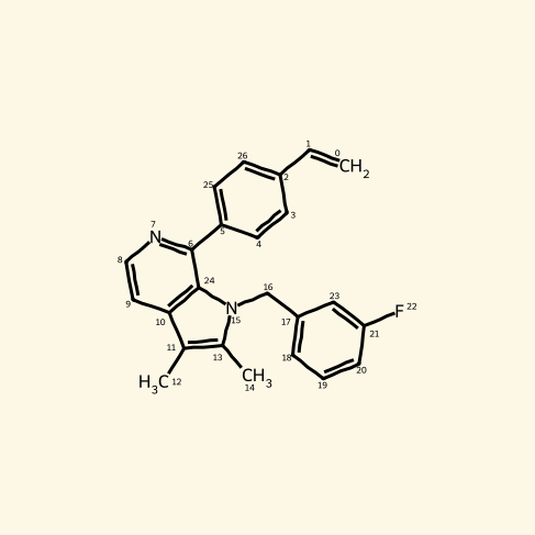 C=Cc1ccc(-c2nccc3c(C)c(C)n(Cc4cccc(F)c4)c23)cc1